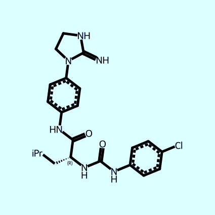 CC(C)C[C@@H](NC(=O)Nc1ccc(Cl)cc1)C(=O)Nc1ccc(N2CCNC2=N)cc1